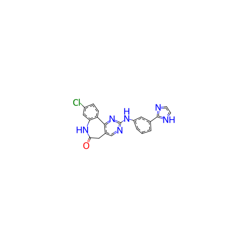 O=C1Cc2cnc(Nc3cccc(-c4ncc[nH]4)c3)nc2-c2ccc(Cl)cc2N1